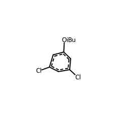 CC(C)COc1cc(Cl)cc(Cl)c1